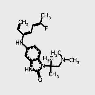 C=CC(=CC=C(C)F)Nc1ccc2c(c1)[nH]c(=O)n2C(C)(C)CN(C)C